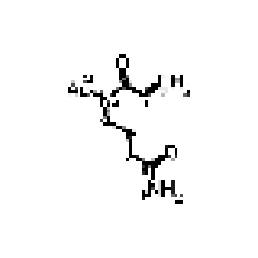 C=CC(=O)N(CCCC(N)=O)C(C)=O